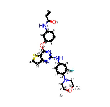 C=CC(=O)Nc1cccc(Oc2nc(Nc3ccc(N4C[C@@H](C)O[C@@H](C)C4)c(F)c3)nc3ccsc23)c1